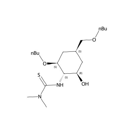 CCCCOC[C@H]1C[C@@H](O)[C@H](NC(=S)N(C)C)[C@@H](OCCCC)C1